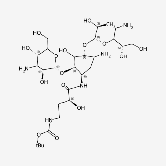 C[C@H](O)[C@H](OC(CN)[C@@H](O)CO)O[C@@H]1C(N)C[C@@H](NC(=O)[C@@H](O)CCNC(=O)OC(C)(C)C)[C@@H](O[C@H]2OC(CO)[C@@H](O)C(N)[C@@H]2O)C1O